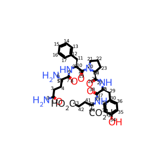 NC(=O)CC[C@H](N)C(=O)N[C@@H](Cc1ccccc1)C(=O)N1CCC[C@H]1C(=O)N[C@@H](Cc1ccc(O)cc1)C(=O)N[C@@H](CCC(=O)O)C(=O)O